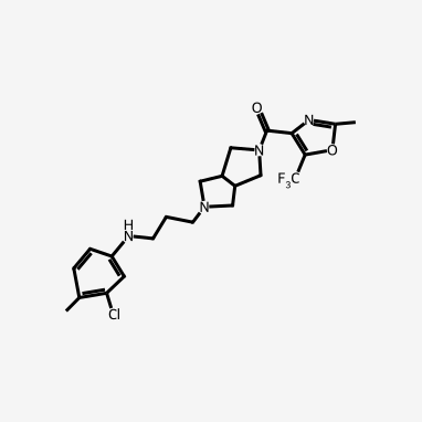 Cc1nc(C(=O)N2CC3CN(CCCNc4ccc(C)c(Cl)c4)CC3C2)c(C(F)(F)F)o1